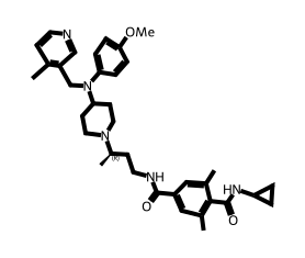 COc1ccc(N(Cc2cnccc2C)C2CCN([C@H](C)CCNC(=O)c3cc(C)c(C(=O)NC4CC4)c(C)c3)CC2)cc1